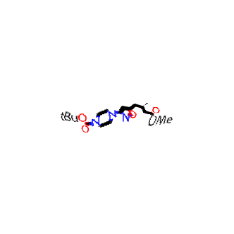 COC(=O)C[C@@H](C)Cc1cc(N2CCN(C(=O)OC(C)(C)C)CC2)no1